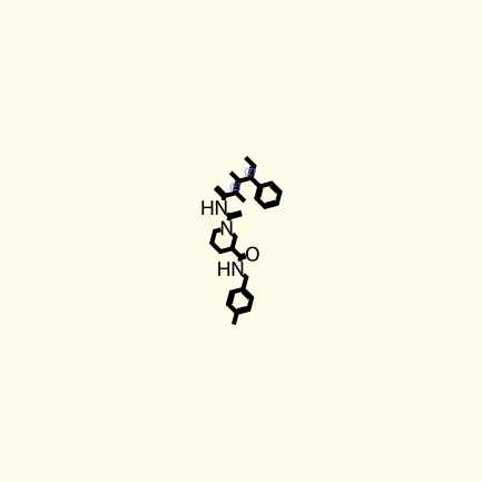 C=C(NC(=C)N1CCCC(C(=O)NCc2ccc(C)cc2)C1)/C(C)=C(C)/C(=C\C)c1ccccc1